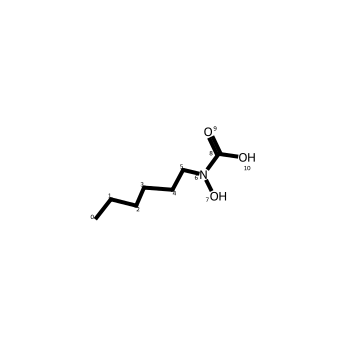 CCCCCCN(O)C(=O)O